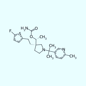 Cc1ccc(C(C)(C)N2CC[C@@](CCc3ccc(F)s3)([C@@H](C)OC(N)=O)C2)cn1